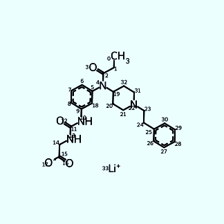 CCC(=O)N(c1cccc(NC(=O)NCC(=O)[O-])c1)C1CCN(CCc2ccccc2)CC1.[Li+]